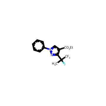 CCOC(=O)c1cn(-c2ccccc2)nc1C(C)(F)C(F)(F)F